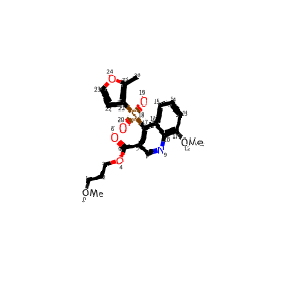 COCCCOC(=O)c1cnc2c(OC)cccc2c1S(=O)(=O)c1ccoc1C